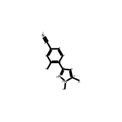 Cc1cc(C#N)ccc1-c1cc(C)n(C)n1